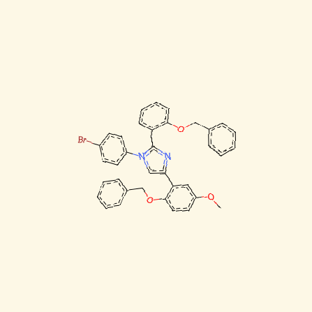 COc1ccc(OCc2ccccc2)c(-c2cn(-c3ccc(Br)cc3)c(-c3ccccc3OCc3ccccc3)n2)c1